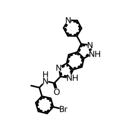 CC(NC(=O)c1nc2cc3c(-c4ccncc4)n[nH]c3cc2[nH]1)c1cccc(Br)c1